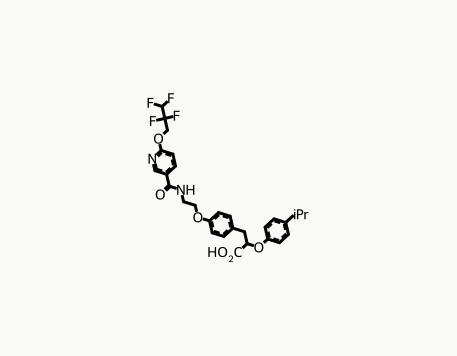 CC(C)c1ccc(OC(Cc2ccc(OCCNC(=O)c3ccc(OCC(F)(F)C(F)F)nc3)cc2)C(=O)O)cc1